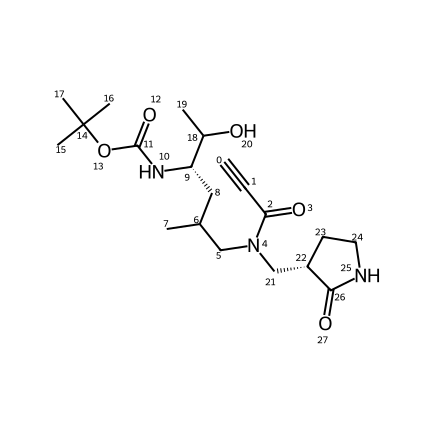 C#CC(=O)N(CC(C)C[C@H](NC(=O)OC(C)(C)C)C(C)O)C[C@@H]1CCNC1=O